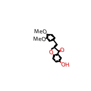 COc1ccc(/C=C2\COc3ccc(O)cc3C2=O)cc1OC